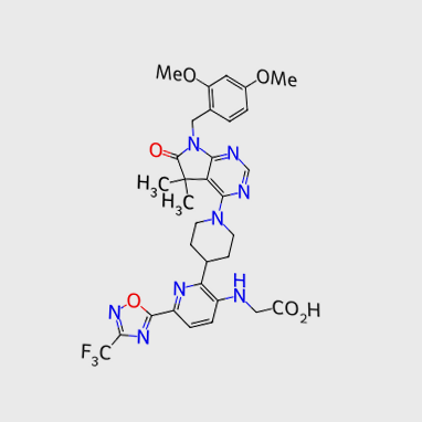 COc1ccc(CN2C(=O)C(C)(C)c3c(N4CCC(c5nc(-c6nc(C(F)(F)F)no6)ccc5NCC(=O)O)CC4)ncnc32)c(OC)c1